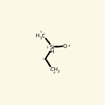 CC[SiH](C)[O]